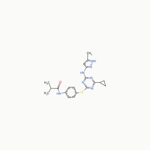 Cc1cc(Nc2nc(Sc3ccc(NC(=O)C(C)C)cc3)nc(C3CC3)n2)n[nH]1